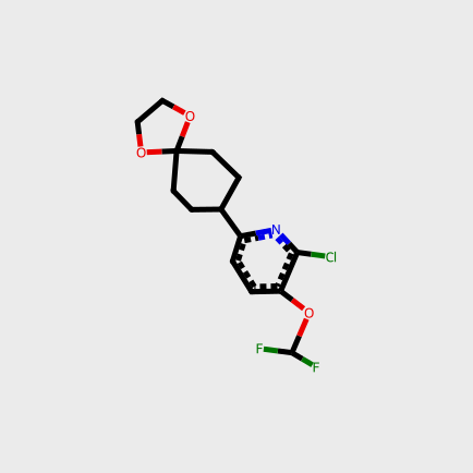 FC(F)Oc1ccc(C2CCC3(CC2)OCCO3)nc1Cl